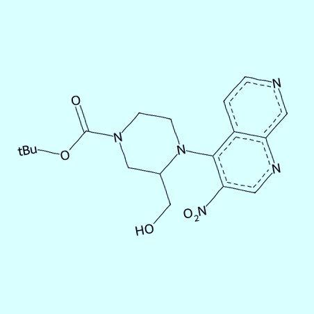 CC(C)(C)OC(=O)N1CCN(c2c([N+](=O)[O-])cnc3cnccc23)C(CO)C1